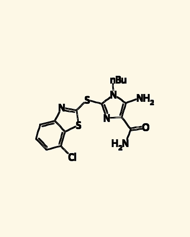 CCCCn1c(Sc2nc3cccc(Cl)c3s2)nc(C(N)=O)c1N